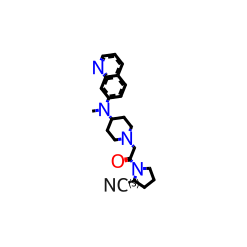 CN(c1ccc2cccnc2c1)C1CCN(CC(=O)N2CCC[C@H]2C#N)CC1